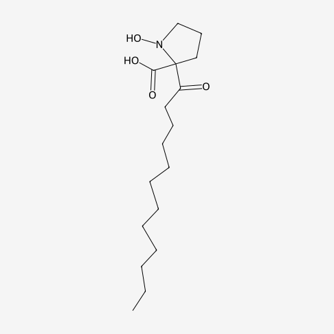 CCCCCCCCCCCC(=O)C1(C(=O)O)CCCN1O